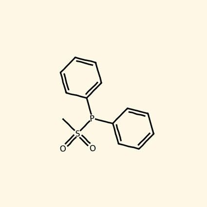 CS(=O)(=O)P(c1ccccc1)c1ccccc1